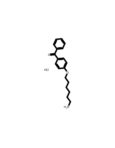 Cl.NCCCCCCOc1ccc(C(=O)c2ccccc2)cc1